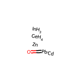 [Cd].[GeH4].[InH3].[O]=[Pb].[Zn]